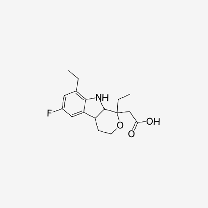 CCc1cc(F)cc2c1NC1C2CCOC1(CC)CC(=O)O